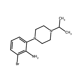 CC(C)N1CCN(c2cccc(Br)c2N)CC1